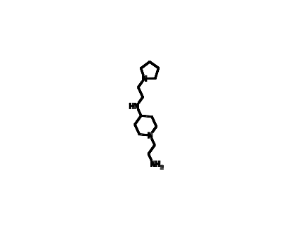 NCCN1CCC(NCCN2CCCC2)CC1